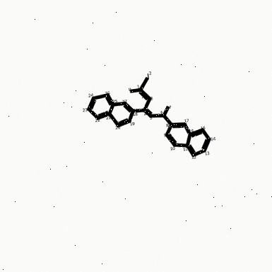 C/C(I)=C\C(=C/C(C)c1ccc2ccccc2c1)c1ccc2ccccc2c1